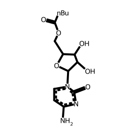 CCCCC(=O)OCC1OC(n2ccc(N)nc2=O)C(O)C1O